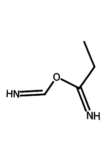 CCC(=N)OC=N